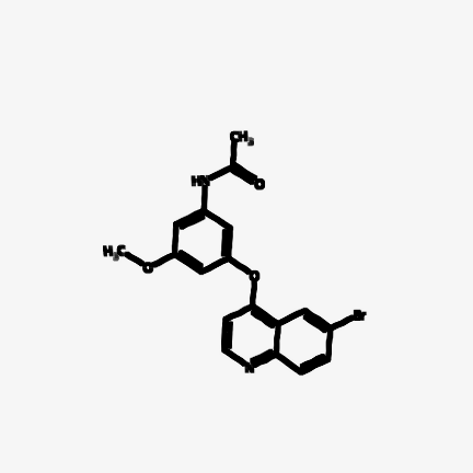 COc1cc(NC(C)=O)cc(Oc2ccnc3ccc(Br)cc23)c1